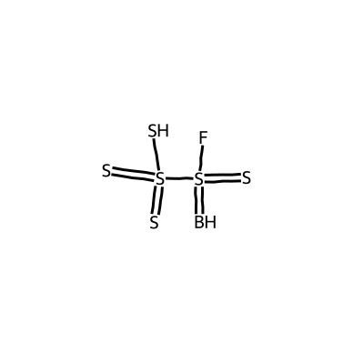 B=S(F)(=S)S(=S)(=S)S